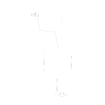 COC1=CC2=CC3NCCC3C2CC1